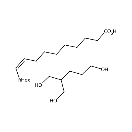 CCCCCC/C=C\CCCCCCCC(=O)O.OCCCC(CO)CO